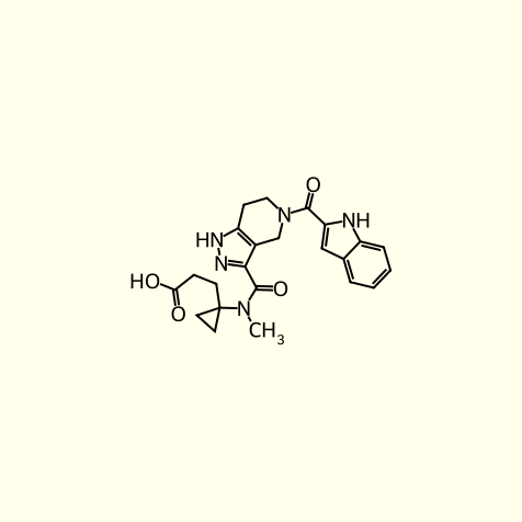 CN(C(=O)c1n[nH]c2c1CN(C(=O)c1cc3ccccc3[nH]1)CC2)C1(CCC(=O)O)CC1